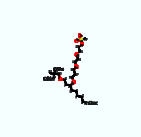 CCCCCCCCCCCCCCCC(CCOCC(C)(OC)OC)OCCCOCCOCCOS(C)(=O)=O